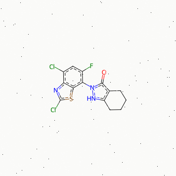 O=c1c2c([nH]n1-c1c(F)cc(Cl)c3nc(Cl)sc13)CCCC2